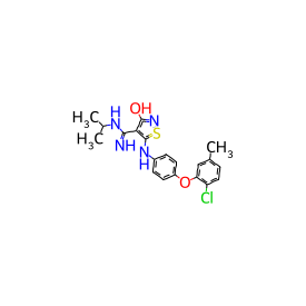 Cc1ccc(Cl)c(Oc2ccc(Nc3snc(O)c3C(=N)NC(C)C)cc2)c1